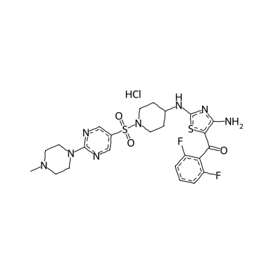 CN1CCN(c2ncc(S(=O)(=O)N3CCC(Nc4nc(N)c(C(=O)c5c(F)cccc5F)s4)CC3)cn2)CC1.Cl